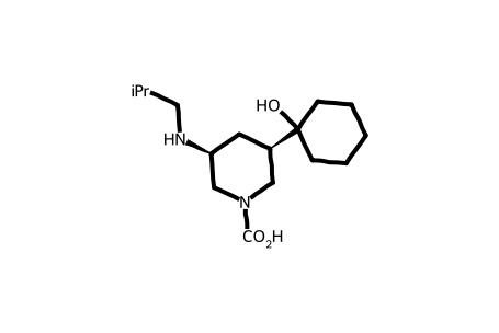 CC(C)CN[C@H]1C[C@@H](C2(O)CCCCC2)CN(C(=O)O)C1